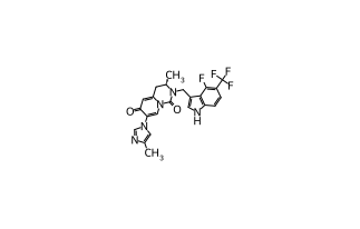 Cc1cn(-c2cn3c(cc2=O)C[C@@H](C)N(Cc2c[nH]c4ccc(C(F)(F)F)c(F)c24)C3=O)cn1